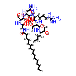 CCCCCCCCCCCCCCCC(=O)NCC(=O)N[C@@H](CO)C(O)N[C@@H](CC(N)=O)C(O)N[C@@H](CCCCNC(=N)N)C(O)N[C@H](C(=O)N[C@@H](CCCC)C(C)=O)C(C)O